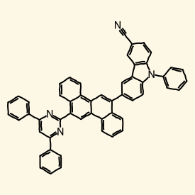 N#Cc1ccc2c(c1)c1cc(-c3cc4c5ccccc5c(-c5nc(-c6ccccc6)cc(-c6ccccc6)n5)cc4c4ccccc34)ccc1n2-c1ccccc1